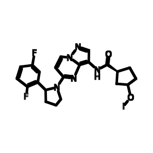 O=C(Nc1cnn2ccc(N3CCCC3c3cc(F)ccc3F)nc12)[C@H]1CCC(OI)C1